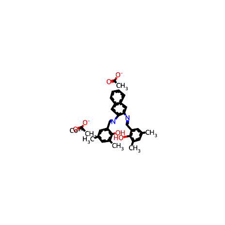 CC(=O)[O-].CC(=O)[O-].Cc1cc(C)c(O)c(C=Nc2cc3ccccc3cc2N=Cc2cc(C)cc(C)c2O)c1.[Co+2]